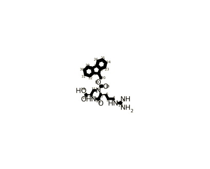 N=C(N)NCCC[C@H]1C(=O)N[C@@H](C(=O)O)CN1C(=O)OCC1c2ccccc2-c2ccccc21